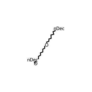 C1CO1.CCCCCCCCCCCCCCCCCCOCCCCCCCCCCCCCCCCCC